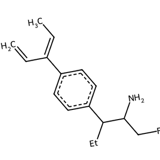 C=C/C(=C\C)c1ccc(C(CC)C(N)CF)cc1